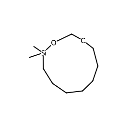 C[Si]1(C)CCCCCCCCCO1